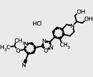 Cc1c(-c2noc(-c3cnc(OC(C)C)c(C#N)c3)n2)ccc2c1CCN(C(CO)CO)C2.Cl